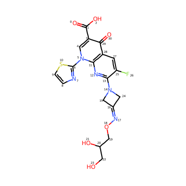 O=C(O)c1cn(-c2nccs2)c2nc(N3CC(=NOCC(O)CO)C3)c(F)cc2c1=O